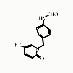 O=CNc1ccc(Cn2cc(C(F)(F)F)ccc2=O)cc1